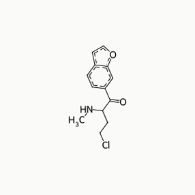 CNC(CCCl)C(=O)c1ccc2ccoc2c1